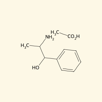 CC(=O)O.CC(N)C(O)c1ccccc1